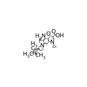 C[C@H]([C@@H]1CCN(c2cc3c(c(N)c2F)c(=O)c(C(=O)O)cn3C2CC2)C1)N(C)C